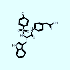 O=C(O)Cc1ccc(NC(=O)[C@H](Cc2c[nH]c3ccccc23)NS(=O)(=O)c2ccc(Cl)cc2)cc1